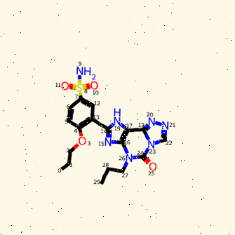 CCCOc1ccc(S(N)(=O)=O)cc1-c1nc2c([nH]1)c1nncn1c(=O)n2CCC